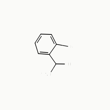 CC(=O)NC(C)c1ccccc1C(C)(C)C